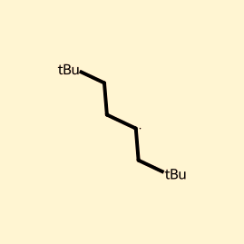 CC(C)(C)C[CH]CCC(C)(C)C